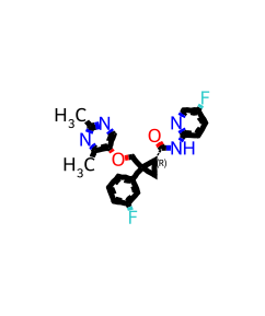 Cc1ncc(OCC2(c3cccc(F)c3)C[C@H]2C(=O)Nc2ccc(F)cn2)c(C)n1